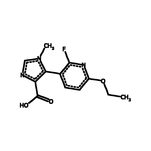 CCOc1ccc(-c2c(C(=O)O)ncn2C)c(F)n1